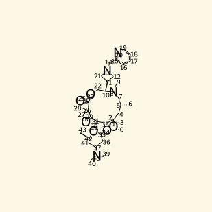 CO[C@]1(C)C[C@@H](C)CN(C)C(C2CN(Cc3ccccn3)C2)COC(=O)C(C)(C)C(=O)[C@H](C)[C@H]1O[C@H]1C[C@@H](N(C)C)C[C@@H](C)O1